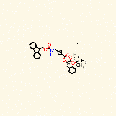 CC(C)(C)OC(=O)[C@H](Cc1ccccc1)OC(=O)C12CC(CNC(=O)OCC3c4ccccc4-c4ccccc43)(C1)C2